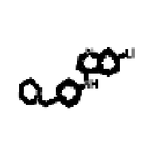 Clc1ccc2c(Nc3ccc(CN4CCCCC4)cc3)ccnc2c1